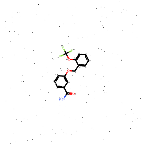 NC(=O)c1cccc(OCc2ccccc2OC(F)(F)F)c1